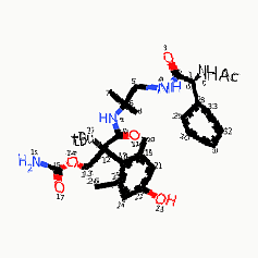 CC(=O)N[C@H](C(=O)NCC(C)(C)NC(=O)C(COC(N)=O)(c1c(C)cc(O)cc1C)C(C)(C)C)c1ccccc1